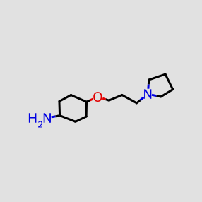 NC1CCC(OCCCN2CCCC2)CC1